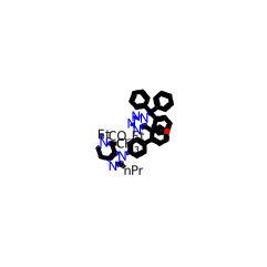 CCCc1nc2c(n1-c1ccc(-c3ccccc3-c3nnnn3C(c3ccccc3)(c3ccccc3)c3ccccc3)cc1)C(C)(C(=O)OCC)N(CC)CC2